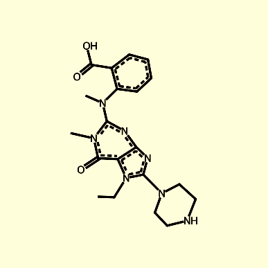 CCn1c(N2CCNCC2)nc2nc(N(C)c3ccccc3C(=O)O)n(C)c(=O)c21